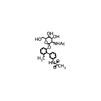 CC(=O)NC1C(O)[C@@H](O)C(CO)O[C@H]1Oc1cccc(C)c1-c1cccc(NS(C)(=O)=O)c1